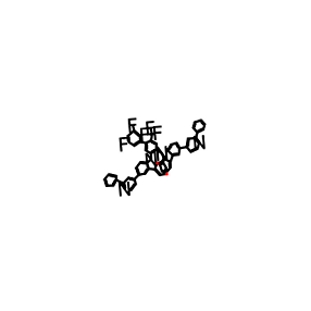 Fc1cc(F)cc(-c2cc(-n3c4ccccc4c4cc(-c5ccnc(-c6ccccc6)c5)ccc43)c(-n3c4ccccc4c4cc(-c5ccnc(-c6ccccc6)c5)ccc43)cc2C(F)(F)F)c1